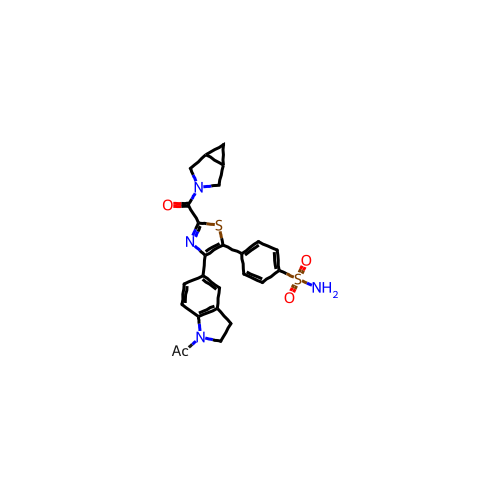 CC(=O)N1CCc2cc(-c3nc(C(=O)N4CC5CC5C4)sc3-c3ccc(S(N)(=O)=O)cc3)ccc21